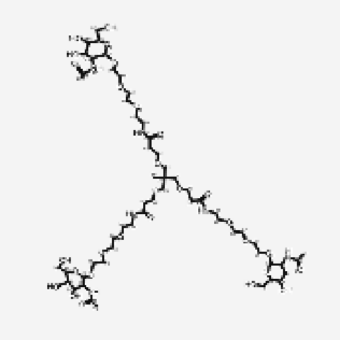 CC(=O)NC1CC(O)C(CO)OC1OCCOCCOCCNC(=O)CCOCC(C)(COCCC(=O)NCCOCCOCCOC1OC(CO)C(O)C(O)C1NC(C)=O)COCCC(=O)NCCOCCOCCOC1OC(CO)C(O)C(O)C1NC(C)=O